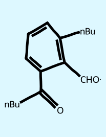 [CH2]CCCC(=O)c1cccc(CCCC)c1[C]=O